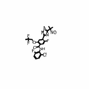 Cn1nc(-c2cc(OCC(C)(F)F)c(C(=O)Nc3c(F)cccc3Cl)cc2F)nc1C(C)(C)N=O